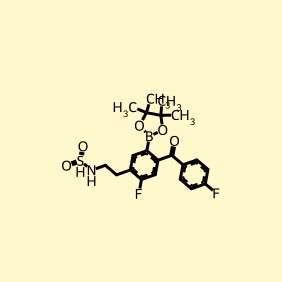 CC1(C)OB(c2cc(CCN[SH](=O)=O)c(F)cc2C(=O)c2ccc(F)cc2)OC1(C)C